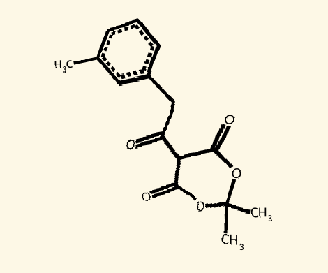 Cc1cccc(CC(=O)C2C(=O)OC(C)(C)OC2=O)c1